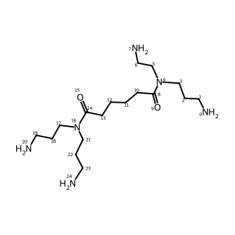 NCCCN(CCN)C(=O)CCCCC(=O)N(CCCN)CCCN